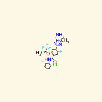 C[C@H](Oc1cc(-c2nc(CN)n(C)n2)c(F)cc1C(=O)Nc1c(F)cccc1Cl)C(F)(F)F